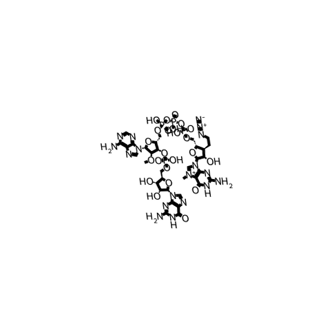 CO[C@@H]1[C@H](OP(=O)(O)OC[C@H]2O[C@@H](n3cnc4c(=O)[nH]c(N)nc43)[C@H](O)[C@@H]2O)[C@@H](COP(=O)(O)OP(=O)(O)OP(=O)(O)OC[C@H]2OC(n3c[n+](C)c4c(=O)[nH]c(N)nc43)[C@H](O)[C@@H]2CCN=[N+]=[N-])O[C@H]1n1cnc2c(N)ncnc21